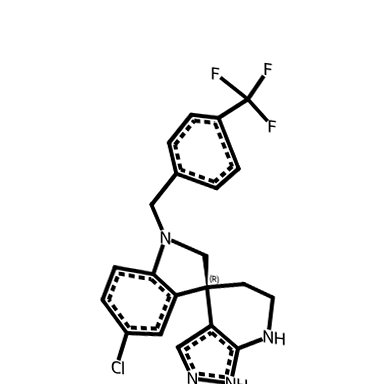 FC(F)(F)c1ccc(CN2C[C@]3(CCNc4[nH]ncc43)c3cc(Cl)ccc32)cc1